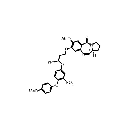 CCCC(CCOc1cc2c(cc1OC)C(=O)N1CCC[C@H]1C=N2)Oc1ccc(Oc2ccc(OC)cc2)c([N+](=O)[O-])c1